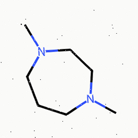 [CH2]N1CCCN(C)CC1